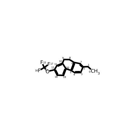 CCc1ccc2c(c1)CCc1cc(OC(F)(F)F)ccc1-2